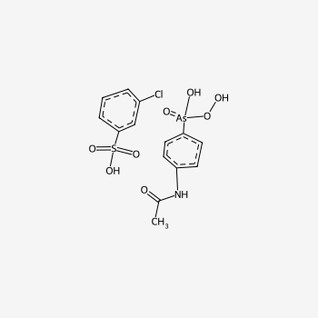 CC(=O)Nc1ccc([As](=O)(O)OO)cc1.O=S(=O)(O)c1cccc(Cl)c1